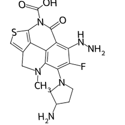 CN1Cc2csc3c2c2c1c(N1CCC(N)C1)c(F)c(NN)c2c(=O)n3C(=O)O